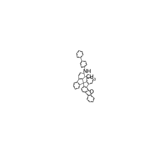 CC1C2=C(C=CC1Nc1ccc(-c3ccccc3)cc1)c1ccccc1C21c2ccccc2-c2c1ccc1c2oc2ccccc21